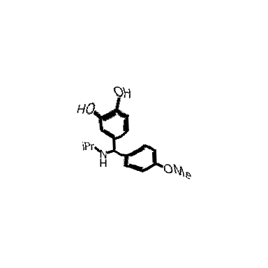 COc1ccc(C(NC(C)C)c2ccc(O)c(O)c2)cc1